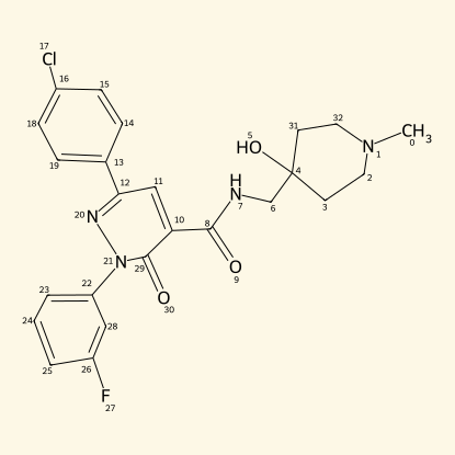 CN1CCC(O)(CNC(=O)c2cc(-c3ccc(Cl)cc3)nn(-c3cccc(F)c3)c2=O)CC1